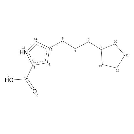 O=C(O)c1cc(CCCC2CCCC2)c[nH]1